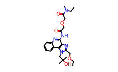 CCOCc1nc2c(NC(=O)COCC(=O)N(C)CC)nc3ccccc3c2n1CC(C)(C)O